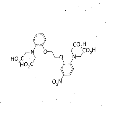 O=C(O)CN(CC(=O)O)c1ccccc1OCCOc1cc([N+](=O)[O-])ccc1N(CC(=O)O)CC(=O)O